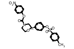 Cc1ccc(S(=O)(=O)Oc2ccc([C@@H]3CN(C(=O)Oc4ccc([N+](=O)[O-])cc4)CCO3)cc2)cc1